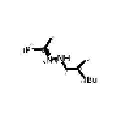 CCC(C)C(C)CN/N=C(\C)C(C)C